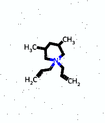 C=CC[N+]1(CC=C)CC(C)CC(C)C1